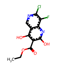 CCOC(=O)c1c(O)nc2c(F)c(Cl)ncc2c1O